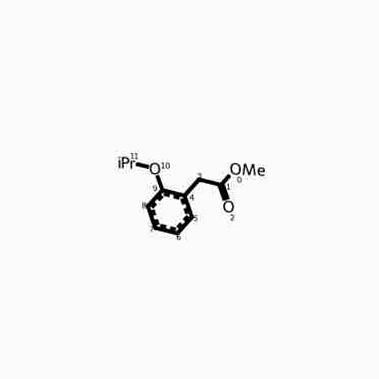 COC(=O)Cc1ccccc1OC(C)C